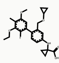 CCOc1c(C)c(OC)cc(-c2ccc(NC3(C(=O)O)CC3)cc2COC2CC2)c1F